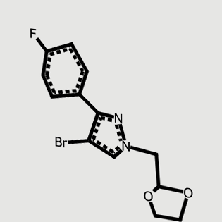 Fc1ccc(-c2nn(CC3OCCO3)cc2Br)cc1